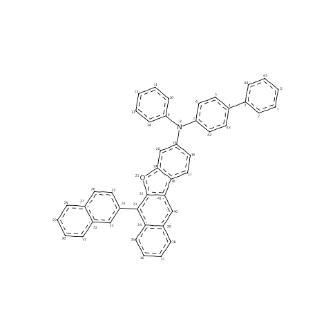 c1ccc(-c2ccc(N(c3ccccc3)c3ccc4c(c3)oc3c(-c5ccc6ccccc6c5)c5ccccc5cc34)cc2)cc1